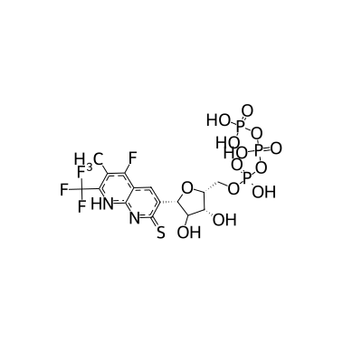 Cc1c(C(F)(F)F)[nH]c2nc(=S)c([C@@H]3O[C@H](COP(=O)(O)OP(=O)(O)OP(=O)(O)O)[C@H](O)C3O)cc-2c1F